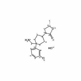 C[C@H]1CN(C2CCC(CN)(c3cccc(Cl)c3)CC2)C(=O)O1.Cl